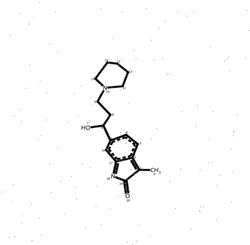 CC1=c2ccc(C(O)CCN3CCCCC3)cc2=NC1=O